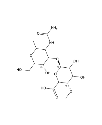 CO[C@@H]1C(C(=O)O)O[C@@H](OC2C(NC(N)=O)C(C)OC(CO)[C@H]2O)C(O)C1O